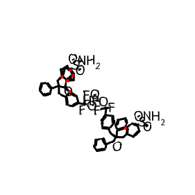 NS(=O)(=O)c1ccc(CC(Cc2ccc(C(F)(F)O[PH](=O)OC(F)(F)c3ccc(CC(Cc4ccc(S(N)(=O)=O)cc4)(C(=O)c4ccccc4)c4ccccc4)cc3)cc2)(C(=O)c2ccccc2)c2ccccc2)cc1